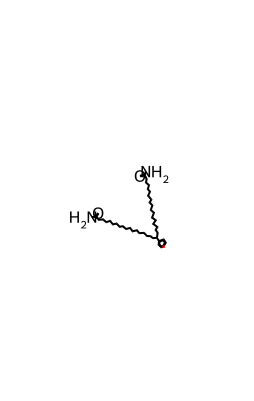 NC(=O)CCCCCCCCCCCCCCCCCC(CCCCCCCCCCCCCCCCCC(N)=O)c1ccccc1